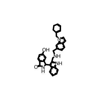 O=C1NC(c2c(CNCc3ccc4ccn(CC5=CC=CCC5)c4c3)[nH]c3ccccc23)c2cc(O)ccc21